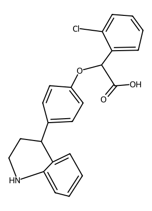 O=C(O)C(Oc1ccc(C2CCNc3ccccc32)cc1)c1ccccc1Cl